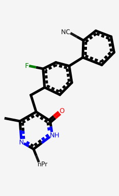 CCCc1nc(C)c(Cc2ccc(-c3ccccc3C#N)cc2F)c(=O)[nH]1